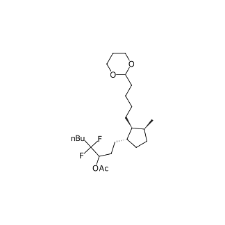 CCCCC(F)(F)C(CC[C@H]1CC[C@H](C)[C@@H]1CCCCC1OCCCO1)OC(C)=O